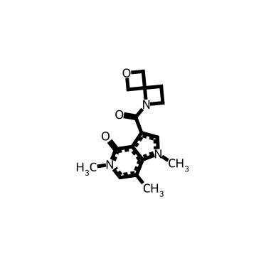 Cc1cn(C)c(=O)c2c(C(=O)N3CCC34COC4)cn(C)c12